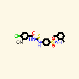 Cc1cccc(C)c1NS(=O)(=O)c1ccc(NC(=S)NC(=O)c2ccc(Cl)c(N=O)c2)cc1